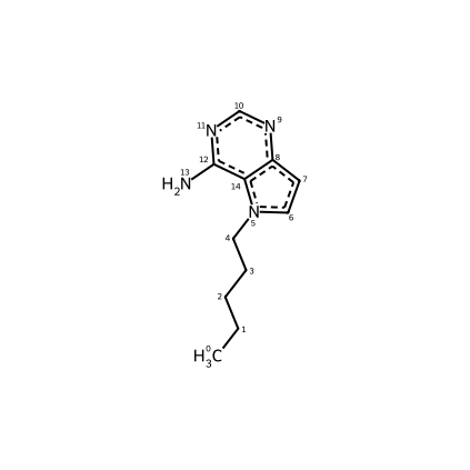 CCCCCn1ccc2ncnc(N)c21